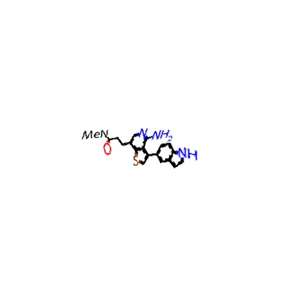 CNC(=O)CCc1cnc(N)c2c(-c3ccc4[nH]ccc4c3)csc12